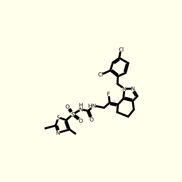 Cc1nc(C)c(S(=O)(=O)NC(=O)NC/C(F)=C2\CCCc3cnn(Cc4ccc(Cl)cc4Cl)c32)s1